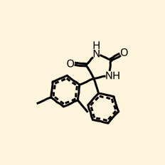 Cc1ccc(C2(c3ccccc3)NC(=O)NC2=O)c(C)c1